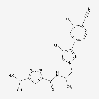 CC(Cn1cc(Cl)c(-c2ccc(C#N)c(Cl)c2)n1)NC(=O)c1cc(C(C)O)n[nH]1